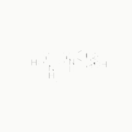 N[C@@H](COC(=O)Nc1cccc(S(=O)(=O)O)c1)C(=O)O